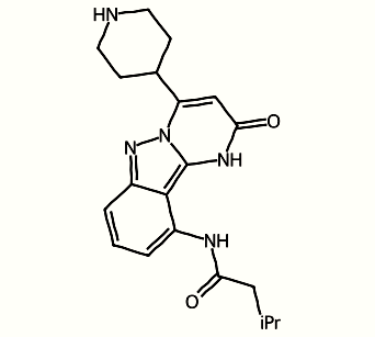 CC(C)CC(=O)Nc1cccc2nn3c(C4CCNCC4)cc(=O)[nH]c3c12